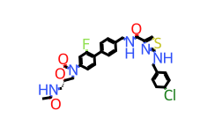 CC(=O)NC[C@H]1CN(c2ccc(-c3ccc(CNC(=O)c4csc(NCC5=CCC(Cl)C=C5)n4)cc3)c(F)c2)C(=O)O1